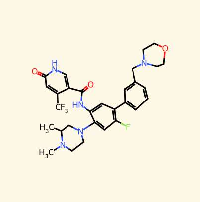 CC1CN(c2cc(F)c(-c3cccc(CN4CCOCC4)c3)cc2NC(=O)c2c[nH]c(=O)cc2C(F)(F)F)CCN1C